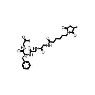 CC1CC(=O)N(CCCCCC(=O)NCC(=O)NCC(=O)N[C@@H](Cc2ccccc2)C(=O)NCC(=O)I)C1=O